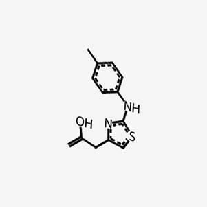 C=C(O)Cc1csc(Nc2ccc(C)cc2)n1